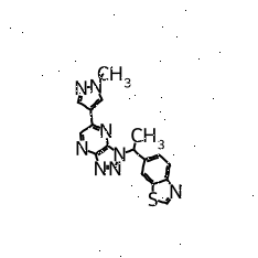 CC(c1ccc2ncsc2c1)n1nnc2ncc(-c3cnn(C)c3)nc21